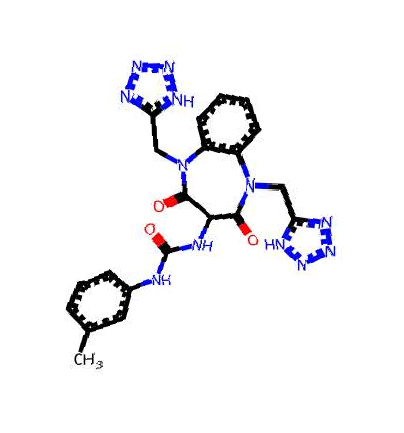 Cc1cccc(NC(=O)NC2C(=O)N(Cc3nnn[nH]3)c3ccccc3N(Cc3nnn[nH]3)C2=O)c1